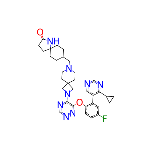 O=C1CCC2(CCC(CN3CCC4(CC3)CN(c3ncnnc3Oc3ccc(F)cc3-c3cncnc3C3CC3)C4)CC2)N1